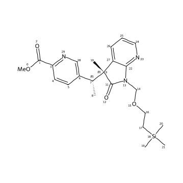 COC(=O)c1ccc([C@@H](C)[C@@]2(C)C(=O)N(COCC[Si](C)(C)C)c3ncccc32)cn1